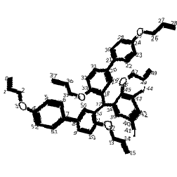 C=CCOc1ccc(-c2ccc(OCC=C)c(C(c3cc(-c4ccc(OCC=C)cc4)ccc3OCC=C)c3cc(I)cc(I)c3OCC=C)c2)cc1